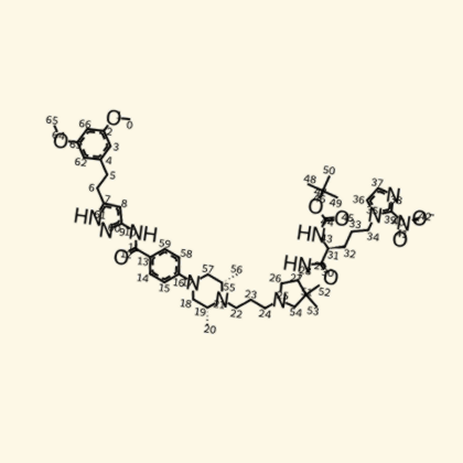 COc1cc(CCc2cc(NC(=O)c3ccc(N4C[C@@H](C)N(CCCN5C[C@H](NC(=O)[C@H](CCCn6ccnc6[N+](=O)[O-])NC(=O)OC(C)(C)C)C(C)(C)C5)[C@@H](C)C4)cc3)n[nH]2)cc(OC)c1